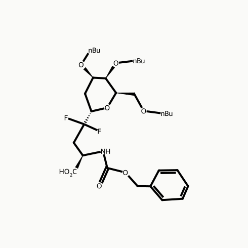 CCCCOC[C@H]1O[C@H](C(F)(F)C[C@@H](NC(=O)OCc2ccccc2)C(=O)O)C[C@@H](OCCCC)[C@H]1OCCCC